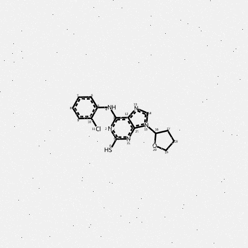 Sc1nc(Nc2ccccc2Cl)c2ncn(C3CCCO3)c2n1